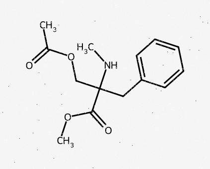 CNC(COC(C)=O)(Cc1ccccc1)C(=O)OC